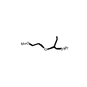 [CH2]C(CCC)OCCOC